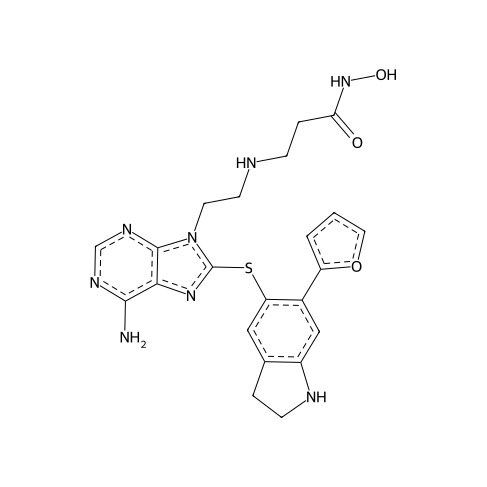 Nc1ncnc2c1nc(Sc1cc3c(cc1-c1ccco1)NCC3)n2CCNCCC(=O)NO